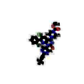 Cc1nc(C#C[Si](C)(C)C)nc(C(C)C)c1-n1c(=O)nc(N2C[C@@H](C)N(C(=O)OC(C)(C)C)C[C@@H]2C)c2cc(Cl)c(-c3ccccc3F)nc21